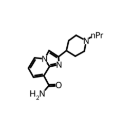 CCCN1CCC(c2cn3cccc(C(N)=O)c3n2)CC1